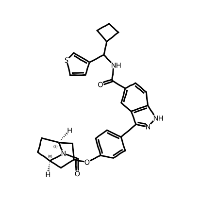 O=CN1[C@@H]2CC[C@H]1CC(Oc1ccc(-c3n[nH]c4ccc(C(=O)NC(c5ccsc5)C5CCC5)cc34)cc1)C2